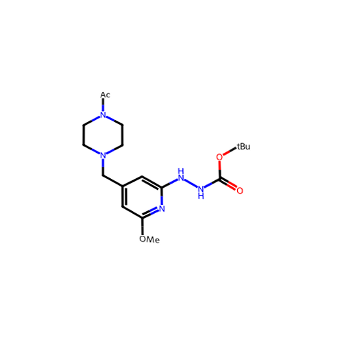 COc1cc(CN2CCN(C(C)=O)CC2)cc(NNC(=O)OC(C)(C)C)n1